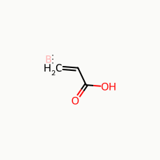 C=CC(=O)O.[B]